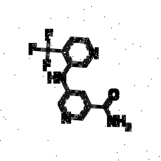 NC(=O)c1cncc(Nc2cnccc2C(F)(F)F)c1